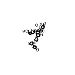 CC1(C)CCC(CN2CCN(c3ccc(C(=O)NS(=O)(=O)c4ccc(Cl)c([N+](=O)[O-])c4)c(-n4ncc5nc6c(ccn6CO)cc54)c3)CC2)=C(c2ccc(Cl)cc2)C1